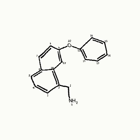 NCc1cccc2ccc(Oc3ccccc3)cc12